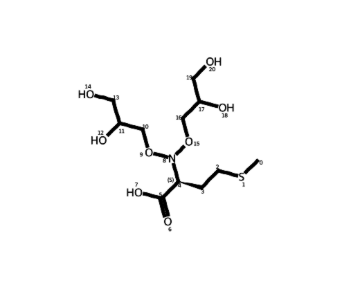 CSCC[C@@H](C(=O)O)N(OCC(O)CO)OCC(O)CO